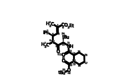 CCOC(=O)/C(C)=C/[C@H](C(C)C)N(C)C(=O)[C@@H](NC(=O)C1CCCCN1C(=O)OC(C)(C)C)C(C)(C)C